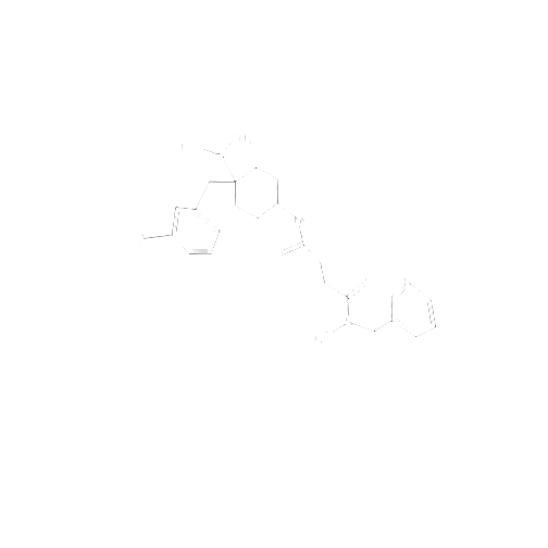 CN(Cc1cccnc1)C(=O)CCC(=O)NC1CCC(Cc2cccc(Cl)c2)(N(C)C)CC1